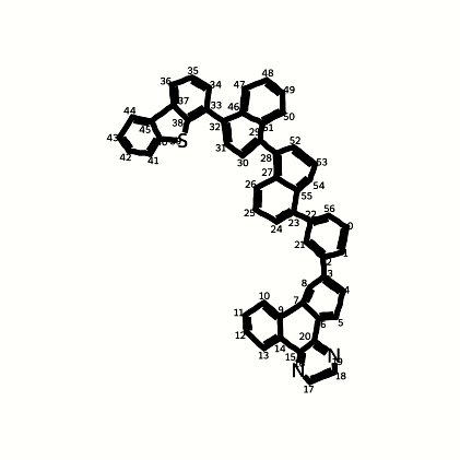 c1cc(-c2ccc3c(c2)c2ccccc2c2nccnc32)cc(-c2cccc3c(-c4ccc(-c5cccc6c5sc5ccccc56)c5ccccc45)cccc23)c1